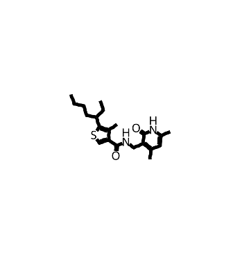 CCCCC(CC)c1scc(C(=O)NCc2c(C)cc(C)[nH]c2=O)c1C